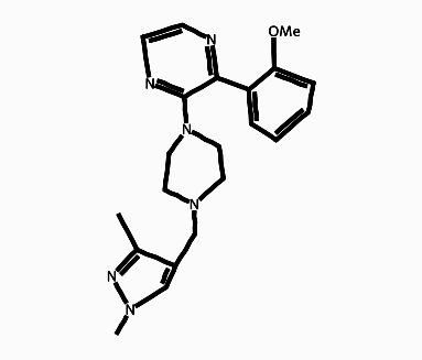 COc1ccccc1-c1nccnc1N1CCN(Cc2cn(C)nc2C)CC1